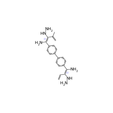 C=C/C(NN)=C(/N)c1ccc(-c2ccc(/C(N)=C(/NN)C(=C)C)cc2)cc1